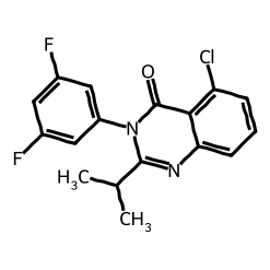 CC(C)c1nc2cccc(Cl)c2c(=O)n1-c1cc(F)cc(F)c1